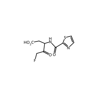 O=C(O)CC(NC(=O)c1nccs1)C(=O)CF